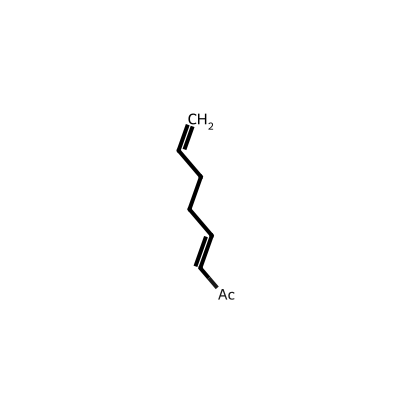 C=CCCC=CC(C)=O